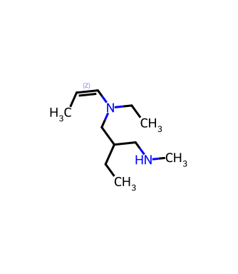 C/C=C\N(CC)CC(CC)CNC